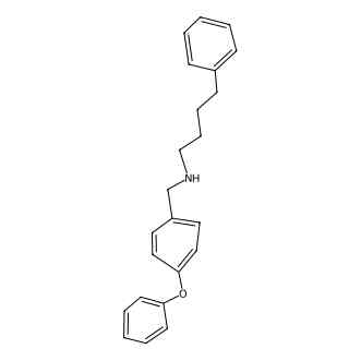 c1ccc(CCCCNCc2ccc(Oc3ccccc3)cc2)cc1